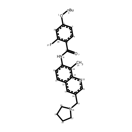 CCCCOc1ccc(C(=O)Nc2ccc3cc(CN4CCCC4)cnc3c2C)c(F)c1